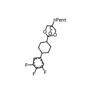 CCCCCC12COC(C3CCC(c4cc(F)c(F)c(F)c4)CC3)(OC1)OC2